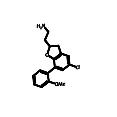 COc1ccccc1-c1cc(Cl)cc2c1OC(CCN)C2